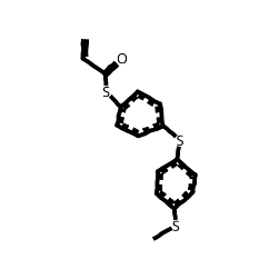 C=CC(=O)Sc1ccc(Sc2ccc(SC)cc2)cc1